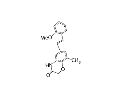 COc1ccccc1C=Cc1cc(C)c2c(c1)NC(=O)CO2